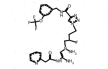 N/C(=C\N(N)CC(F)CCn1cc(C(=O)NCc2cccc(OC(F)(F)F)c2)nn1)NC(=O)Cc1ccccn1